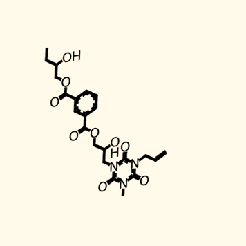 C=CCn1c(=O)n(C)c(=O)n(CC(O)COC(=O)c2cccc(C(=O)OCC(O)CC)c2)c1=O